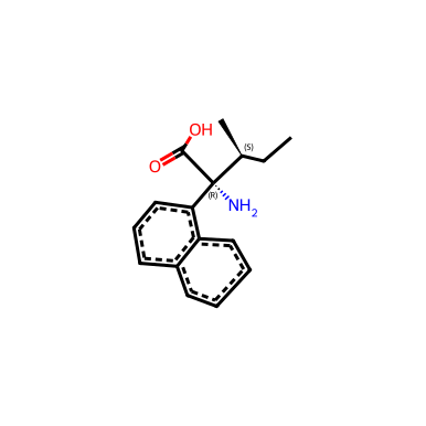 CC[C@H](C)[C@](N)(C(=O)O)c1cccc2ccccc12